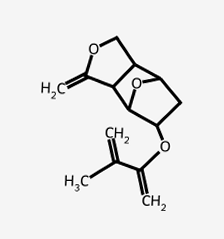 C=C(C)C(=C)OC1CC2OC1C1C(=C)OCC21